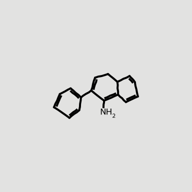 NC1=C2C=CC=CC2CC=C1c1ccccc1